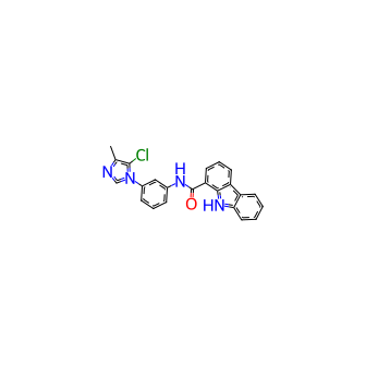 Cc1ncn(-c2cccc(NC(=O)c3cccc4c3[nH]c3ccccc34)c2)c1Cl